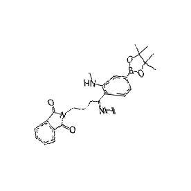 CNc1cc(B2OC(C)(C)C(C)(C)O2)ccc1C(=N)CCCN1C(=O)c2ccccc2C1=O